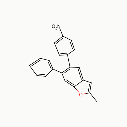 Cc1cc2cc(-c3ccc([N+](=O)[O-])cc3)c(-c3ccccc3)cc2o1